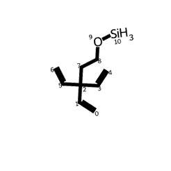 C=CC(C=C)(C=C)CCO[SiH3]